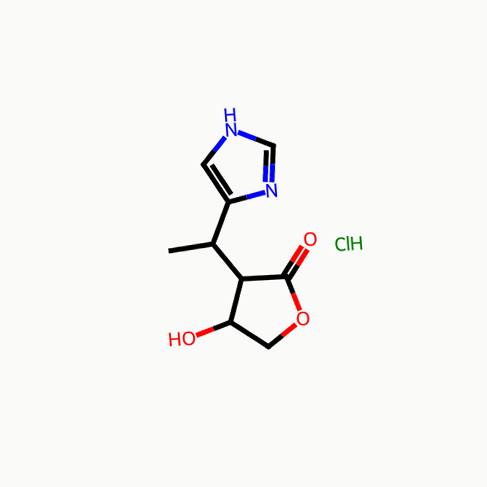 CC(c1c[nH]cn1)C1C(=O)OCC1O.Cl